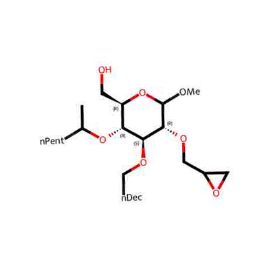 CCCCCCCCCCCO[C@H]1[C@H](OC(C)CCCCC)[C@@H](CO)OC(OC)[C@@H]1OCC1CO1